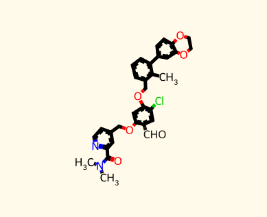 Cc1c(COc2cc(OCc3ccnc(C(=O)N(C)C)c3)c(C=O)cc2Cl)cccc1-c1ccc2c(c1)OCCO2